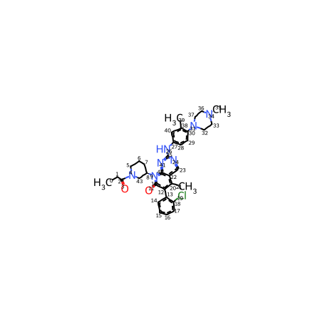 CCC(=O)N1CCC[C@@H](n2c(=O)c(-c3ccccc3Cl)c(C)c3cnc(Nc4ccc(N5CCN(C)CC5)c(C)c4)nc32)C1